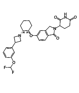 O=C1CCC(N2Cc3cc(O[C@@H]4CCCC[C@H]4N4CC(c5cccc(OC(F)F)c5)C4)ccc3C2=O)C(=O)N1